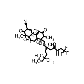 CCC(C)(C)CC[C@@](C)(CC[C@]1(C)C(C)C(=O)C=C2[C@@]3(C)C=C(C#N)C(=O)C(C)(C)[C@@H]3CC[C@]21C)CC(=O)NCC(F)(F)F